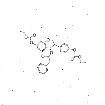 CCOC(=O)Oc1ccc(C2COc3cc(OC(=O)OCC)ccc3C2OC(=O)Cc2ccccc2)cc1